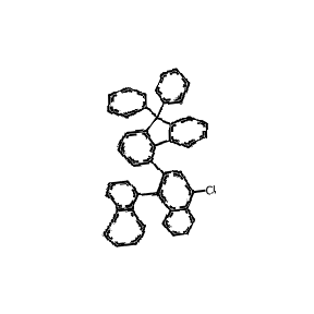 Clc1cc(-c2cccc3c2-c2ccccc2C3(c2ccccc2)c2ccccc2)c(-c2cccc3ccccc23)c2ccccc12